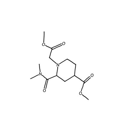 COC(=O)CN1CCC(C(=O)OC)CC1C(=O)N(C)C